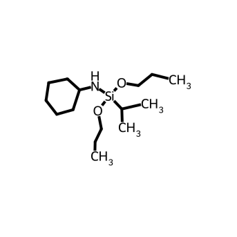 CCCO[Si](NC1CCCCC1)(OCCC)C(C)C